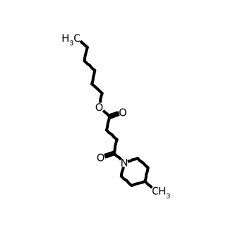 CCCCCCOC(=O)CCC(=O)N1CCC(C)CC1